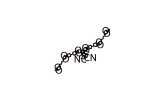 C=CC(=O)OCCCCCCOC(=O)C1CCC(C2CCC(C(=O)Oc3cc(C)c(OC(=O)C4CCC(C5CCC(C(=O)OCCCCCCOC(=O)C=C)CC5)CC4)c4c3SC(=C(C#N)C#N)S4)CC2)CC1